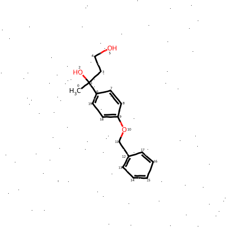 CC(O)(CCO)c1ccc(OCc2ccccc2)cc1